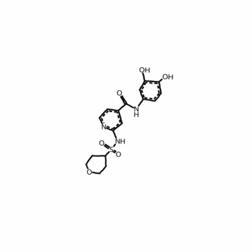 O=C(Nc1ccc(O)c(O)c1)c1ccnc(NS(=O)(=O)C2CCOCC2)c1